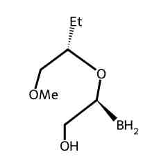 B[C@@H](CO)O[C@@H](CC)COC